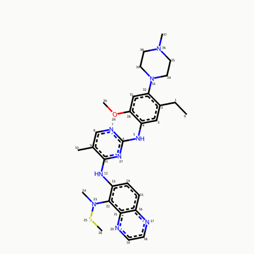 CCc1cc(Nc2ncc(C)c(Nc3ccc4nccnc4c3N(C)SC)n2)c(OC)cc1N1CCN(C)CC1